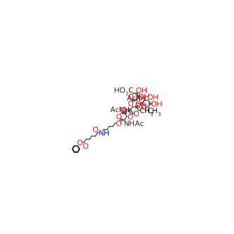 CC(=O)NC1C(O)[C@H](O)C(C)O[C@H]1OC1C(O)[C@H](O)C(C(=O)O)O[C@H]1OC1C(NC(C)=O)[C@H](OC2C(NC(C)=O)[C@H](OCCCCCNC(=O)CCCCC(=O)Oc3ccccc3)OC3O[C@@H]32)OC(C)[C@H]1O